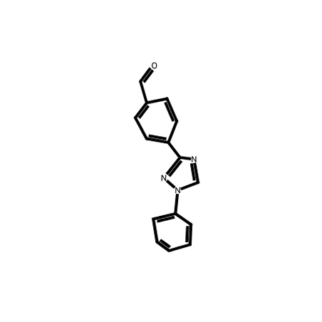 O=Cc1ccc(-c2ncn(-c3ccccc3)n2)cc1